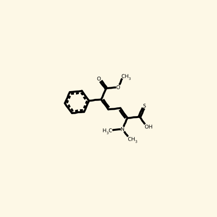 COC(=O)C(=CC=C(C(O)=S)N(C)C)c1ccccc1